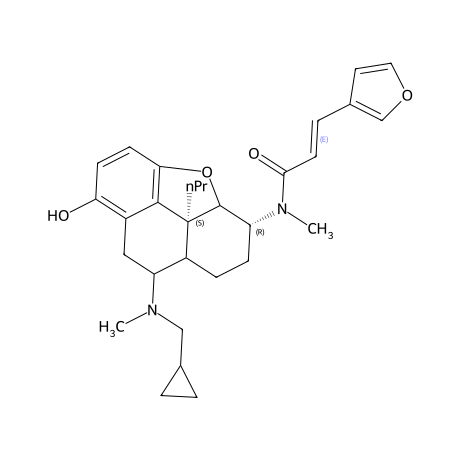 CCC[C@@]12c3c4ccc(O)c3CC(N(C)CC3CC3)C1CC[C@@H](N(C)C(=O)/C=C/c1ccoc1)C2O4